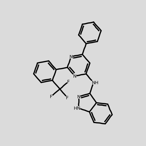 FC(F)(F)c1ccccc1-c1nc(Nc2n[nH]c3ccccc23)cc(-c2ccccc2)n1